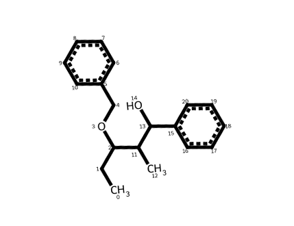 CCC(OCc1ccccc1)C(C)C(O)c1ccccc1